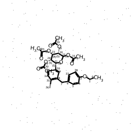 CCOc1ccc(Cc2cc([C@@H]3OC(OC(C)=O)[C@@H](OC(C)=O)[C@H](OC(C)=O)[C@H]3OC(C)=O)ccc2I)cc1